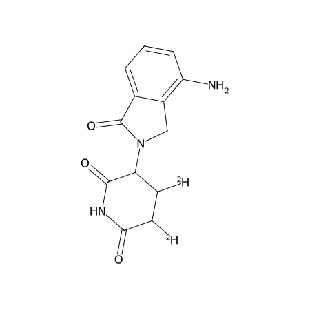 [2H]C1C(=O)NC(=O)C(N2Cc3c(N)cccc3C2=O)C1[2H]